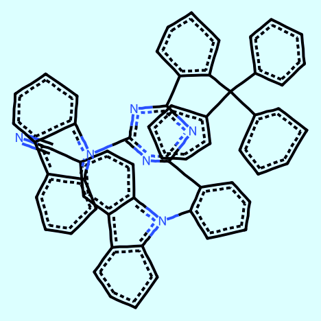 N#Cc1ccc2c(c1)c1ccccc1n2-c1ccccc1-c1nc(-c2ccccc2C(c2ccccc2)(c2ccccc2)c2ccccc2)nc(-n2c3ccccc3c3ccccc32)n1